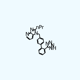 CCCc1nc2ncccc2n1Cc1ccc(-c2ccccc2-c2nnn[nH]2)cc1